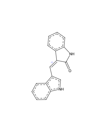 O=C1Nc2ccccc2/C1=C/c1c[nH]c2ccccc12